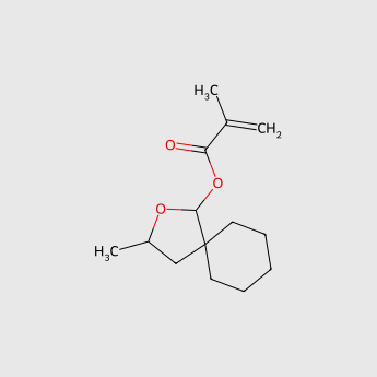 C=C(C)C(=O)OC1OC(C)CC12CCCCC2